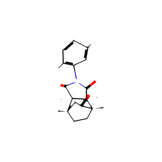 CCc1ccc([N+](=O)[O-])cc1N1C(=O)[C@@H]2[C@H]3CC[C@H](C(=O)C3)[C@@H]2C1=O